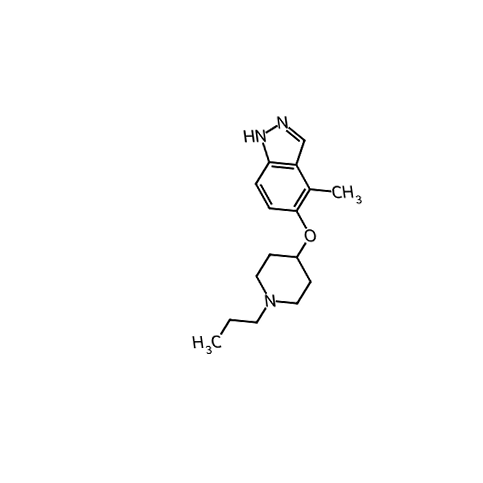 CCCN1CCC(Oc2ccc3[nH]ncc3c2C)CC1